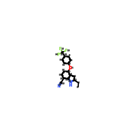 CCc1cc2c(Oc3ccc(C(F)(F)F)cc3)ccc(C#N)c2[nH]1